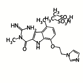 CS(=O)(=O)O.CS(=O)(=O)O.Cc1ccc(OCCn2ccnc2)c2[nH]c(C(=O)N(C)C(=N)N)cc12